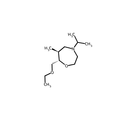 CCOC[C@H]1OCCN(C(C)C)C[C@@H]1C